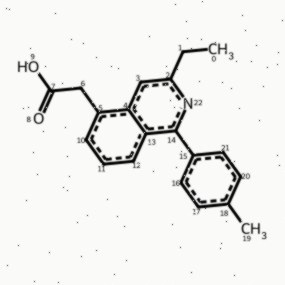 CCc1cc2c(CC(=O)O)cccc2c(-c2ccc(C)cc2)n1